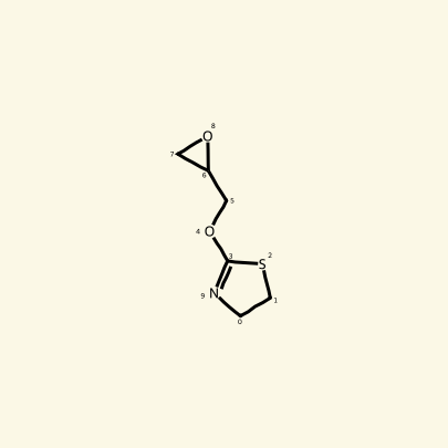 C1CSC(OCC2CO2)=N1